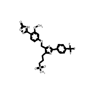 COc1cc(OCc2sc(-c3ccc(C(F)(F)F)cc3)nc2CCCS(C)(=O)=O)ccc1-c1noc(=O)[nH]1